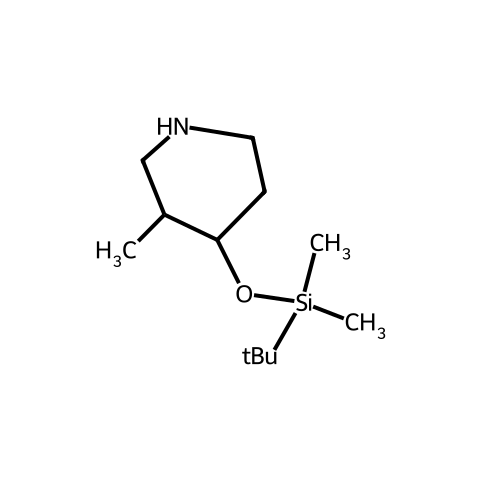 CC1CNCCC1O[Si](C)(C)C(C)(C)C